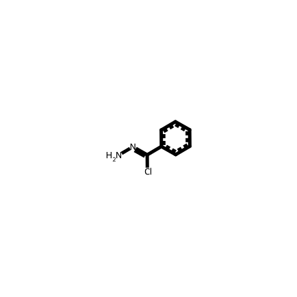 NN=C(Cl)c1ccccc1